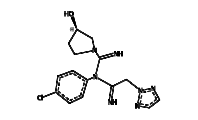 N=C(Cn1nccn1)N(C(=N)N1CC[C@@H](O)C1)c1ccc(Cl)cc1